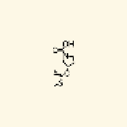 CSC(=S)O[C@@H]1CCN(C(=O)O)C1